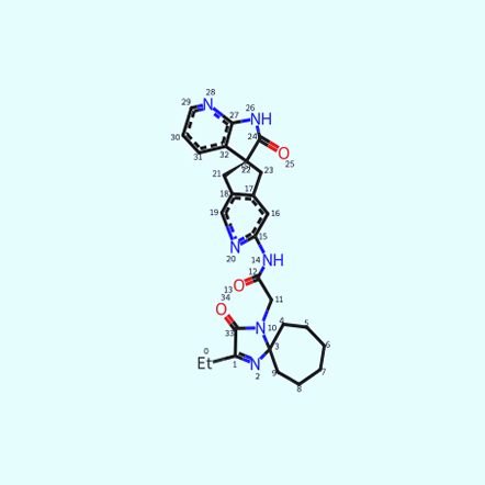 CCC1=NC2(CCCCCC2)N(CC(=O)Nc2cc3c(cn2)C[C@]2(C3)C(=O)Nc3ncccc32)C1=O